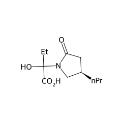 CCC[C@@H]1CC(=O)N(C(O)(CC)C(=O)O)C1